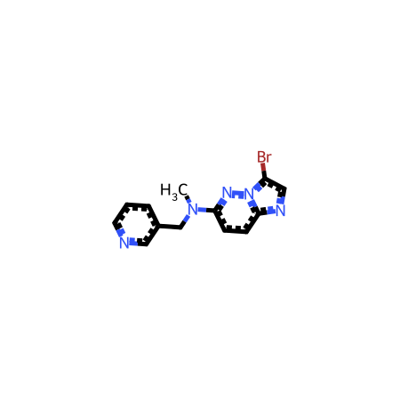 CN(Cc1cccnc1)c1ccc2ncc(Br)n2n1